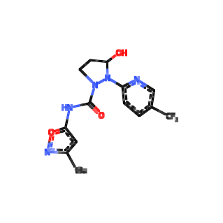 CC(C)(C)c1cc(NC(=O)N2CCC(O)N2c2ccc(C(F)(F)F)cn2)on1